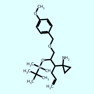 C=CCC(C(COCc1ccc(OC)cc1)O[Si](C)(C)C(C)(C)C)C1(N)CC1